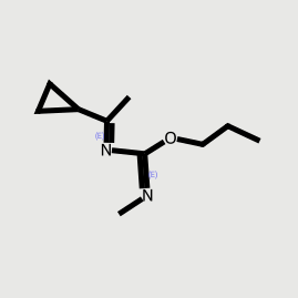 CCCOC(=N/C)/N=C(\C)C1CC1